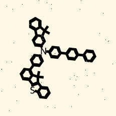 CC1(C)c2ccccc2-c2ccc(N(c3ccc(-c4ccc(-c5ccccc5)cc4)cc3)c3ccc(-c4cccc5c4C(C)(C)c4c-5sc5ccccc45)cc3)cc21